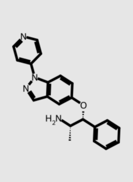 C[C@H](N)[C@H](Oc1ccc2c(cnn2-c2ccncc2)c1)c1ccccc1